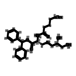 CCCCCCCCCCCCCC(=O)N[C@H](CSC[C@H](O)CO)C(=O)OC(c1ccccc1)c1ccccc1